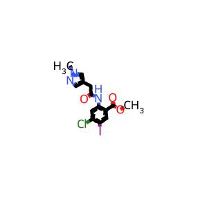 COC(=O)c1cc(I)c(Cl)cc1NC(=O)Cc1cnn(C)c1